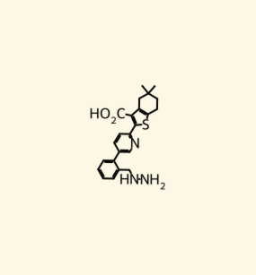 CC1(C)CCc2sc(-c3ccc(-c4ccccc4CNN)cn3)c(C(=O)O)c2C1